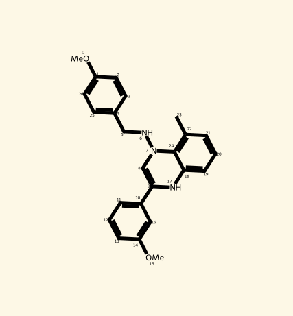 COc1ccc(CNN2C=C(c3cccc(OC)c3)Nc3cccc(C)c32)cc1